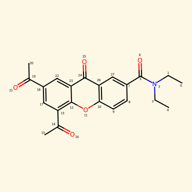 CCN(CC)C(=O)c1ccc2oc3c(C(C)=O)cc(C(C)=O)cc3c(=O)c2c1